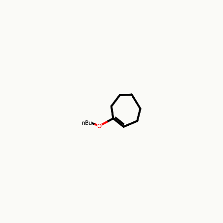 CCCCOC1=CCCCCC1